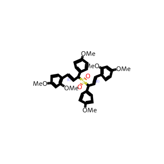 COc1ccc(C(/C=C/c2ccc(OC)cc2OC)S(=O)(=O)C(/C=C/c2ccc(OC)cc2OC)c2ccc(OC)cc2)cc1